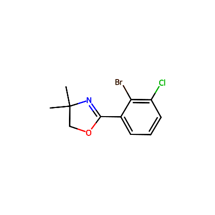 CC1(C)COC(c2cccc(Cl)c2Br)=N1